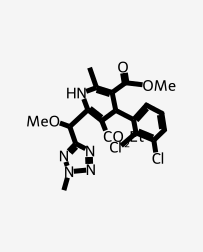 CCOC(=O)C1=C(C(OC)c2nnn(C)n2)NC(C)=C(C(=O)OC)C1c1cccc(Cl)c1Cl